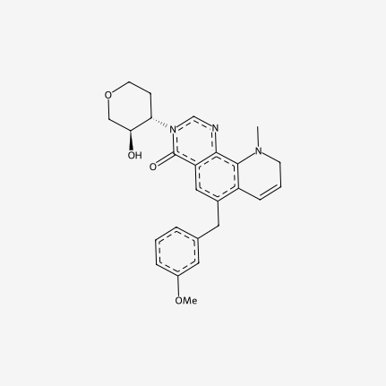 COc1cccc(Cc2cc3c(=O)n([C@H]4CCOC[C@@H]4O)cnc3c3c2C=CCN3C)c1